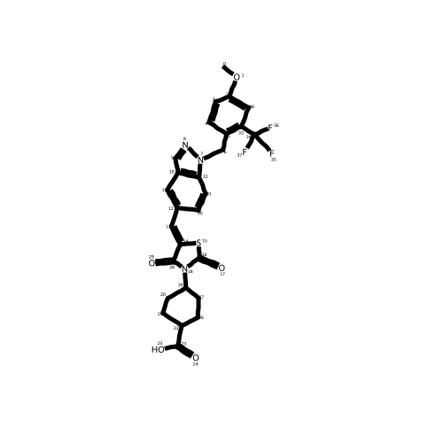 COc1ccc(Cn2ncc3cc(/C=C4\SC(=O)N(C5CCC(C(=O)O)CC5)C4=O)ccc32)c(C(F)(F)F)c1